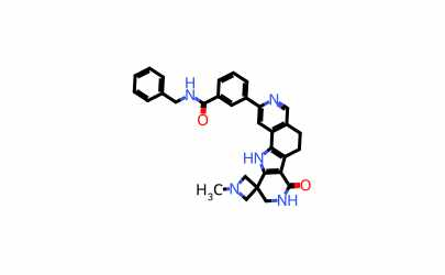 CN1CC2(CNC(=O)c3c2[nH]c2c3CCc3cnc(-c4cccc(C(=O)NCc5ccccc5)c4)cc3-2)C1